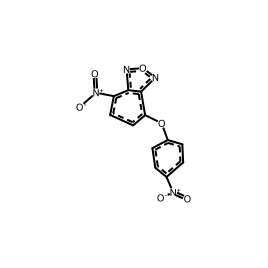 O=[N+]([O-])c1ccc(Oc2ccc([N+](=O)[O-])c3nonc23)cc1